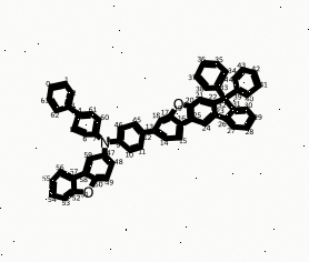 c1ccc(-c2ccc(N(c3ccc(-c4ccc5c(c4)oc4cc6c(cc45)-c4ccccc4C6(c4ccccc4)c4ccccc4)cc3)c3ccc4oc5ccccc5c4c3)cc2)cc1